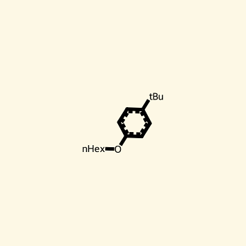 [CH]C(C)(C)c1ccc(OCCCCCC)cc1